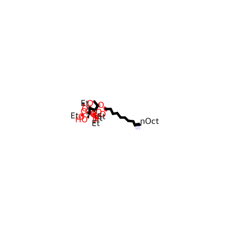 CCCCCCCC/C=C\CCCCCCCC(=O)O[C@H]1CO[C@](OCC)([C@](CO)(OCC)OOCC)[C@]1(OCC)OOCC